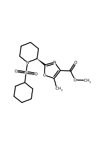 COC(=O)c1nc([C@@H]2CCCCN2S(=O)(=O)C2CCCCC2)oc1C